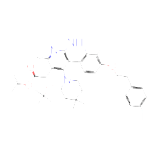 Cc1nc(N)c(-c2ccc(OCCc3ccc(F)cc3)c(F)c2)c(N2CCC(C)(C)CC2)c1[C@H](OC(C)(C)C)C(=O)OC(C)C